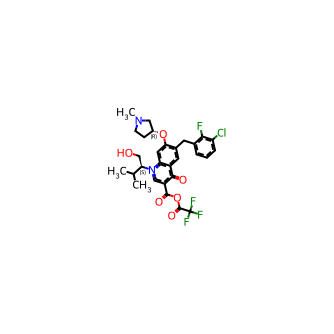 CC(C)[C@@H](CO)n1cc(C(=O)OC(=O)C(F)(F)F)c(=O)c2cc(Cc3cccc(Cl)c3F)c(O[C@@H]3CCN(C)C3)cc21